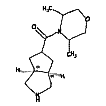 CC1COCC(C)N1C(=O)C1C[C@H]2CNC[C@H]2C1